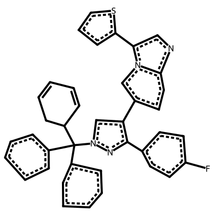 Fc1ccc(-c2nn(C(c3ccccc3)(c3ccccc3)C3C=CC=CC3)cc2-c2ccc3ncc(-c4cccs4)n3c2)cc1